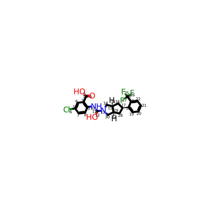 O=C(O)c1cc(Cl)ccc1NC(O)N1C[C@H]2C[C@@H](c3ccccc3C(F)(F)F)C[C@H]2C1